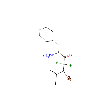 CC(C)C(S)C(F)(F)C(=O)C(N)CC1CCCCC1